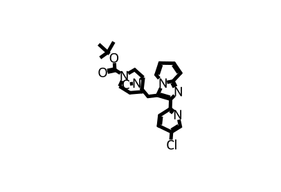 CC(C)(C)OC(=O)N1CC2CCC1CN2Cc1c(-c2ccc(Cl)cn2)nc2ccccn12